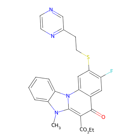 CCOC(=O)c1c(=O)c2cc(F)c(SCCc3cnccn3)cc2n2c3ccccc3n(C)c12